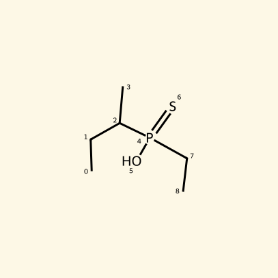 CCC(C)P(O)(=S)CC